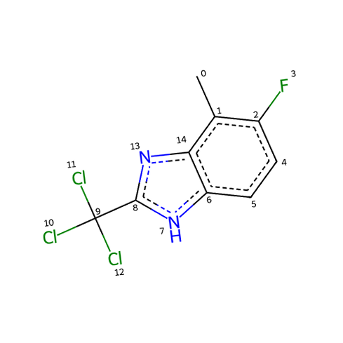 Cc1c(F)ccc2[nH]c(C(Cl)(Cl)Cl)nc12